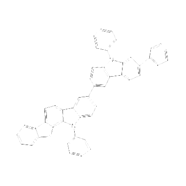 c1ccc(-c2ccc3c4cc(-c5ccc6c(c5)c5ccc7c8ccccc8sc7c5n6-c5ccccc5)ccc4n(-c4ccccc4)c3c2)cc1